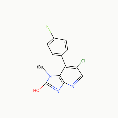 CC(C)(C)n1c(O)nc2ncc(Cl)c(-c3ccc(F)cc3)c21